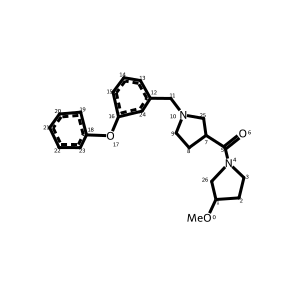 COC1CCN(C(=O)C2CCN(Cc3cccc(Oc4ccccc4)c3)C2)C1